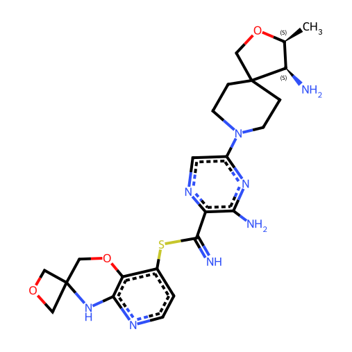 C[C@@H]1OCC2(CCN(c3cnc(C(=N)Sc4ccnc5c4OCC4(COC4)N5)c(N)n3)CC2)[C@@H]1N